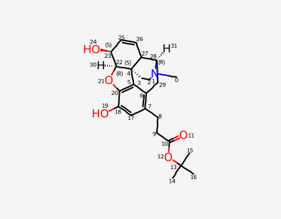 CN1CC[C@]23c4c5c(CCC(=O)OC(C)(C)C)cc(O)c4O[C@H]2[C@@H](O)C=CC3[C@H]1C5